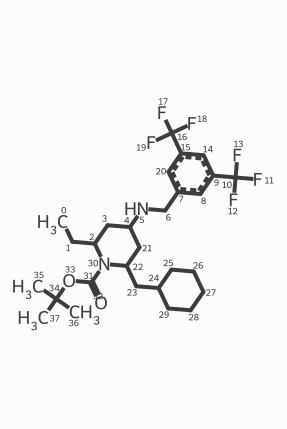 CCC1CC(NCc2cc(C(F)(F)F)cc(C(F)(F)F)c2)CC(CC2CCCCC2)N1C(=O)OC(C)(C)C